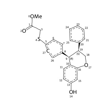 COC(=O)CSc1ccc([C@@H]2c3ccc(O)cc3OC[C@@H]2c2ccccc2)cc1